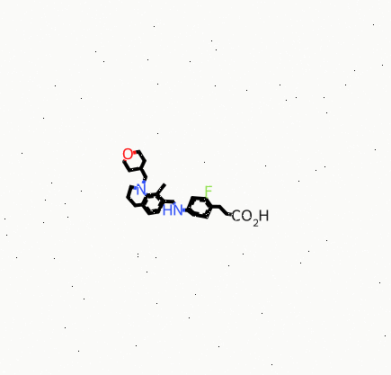 Cc1c(CNc2ccc(CCC(=O)O)c(F)c2)ccc2c1N(CC1CCOCC1)CCC2